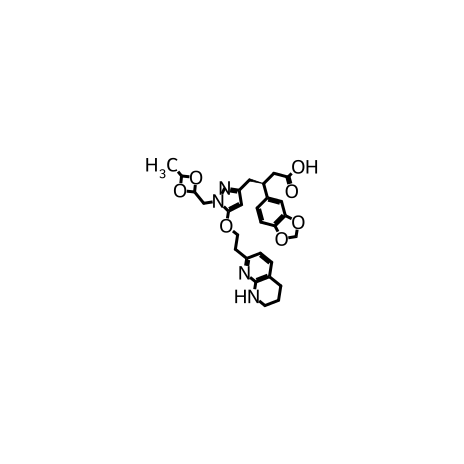 CC1OC(Cn2nc(C[C@@H](CC(=O)O)c3ccc4c(c3)OCO4)cc2OCCc2ccc3c(n2)NCCC3)O1